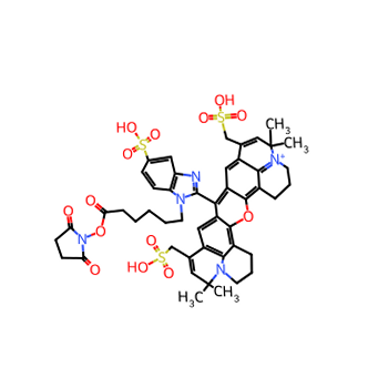 CC1(C)C=C(CS(=O)(=O)O)c2cc3c(c4c2N1CCC4)Oc1c2c4c(cc1=C3c1nc3cc(S(=O)(=O)O)ccc3n1CCCCCC(=O)ON1C(=O)CCC1=O)C(CS(=O)(=O)O)=CC(C)(C)[N+]=4CCC2